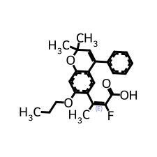 CCCOc1cc2c(cc1/C(C)=C(/F)C(=O)O)C(c1ccccc1)=CC(C)(C)O2